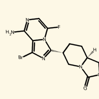 Nc1ncc(F)n2c([C@@H]3CC[C@H]4COC(=O)N4C3)nc(Br)c12